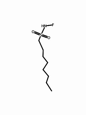 CCCCCCCCS(=O)(=O)NF